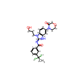 CC(F)(F)c1cccc(C(=O)/N=c2\[nH]c3cc(N4CCOCC4=O)ccc3n2CCCO)c1